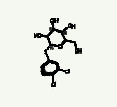 OCC1O[C@H](Sc2ccc(Cl)c(Cl)c2)C(O)[C@@H](O)[C@H]1O